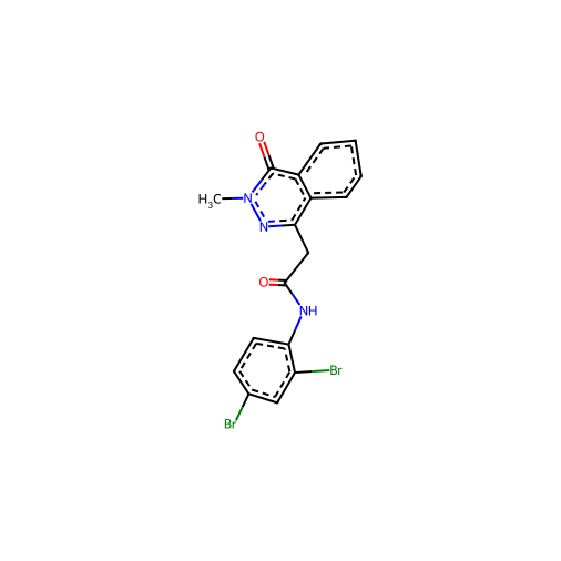 Cn1nc(CC(=O)Nc2ccc(Br)cc2Br)c2ccccc2c1=O